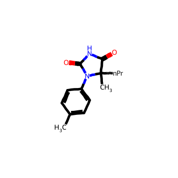 CCCC1(C)C(=O)NC(=O)N1c1ccc(C)cc1